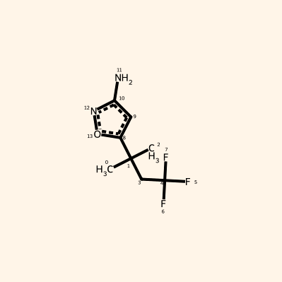 CC(C)(CC(F)(F)F)c1cc(N)no1